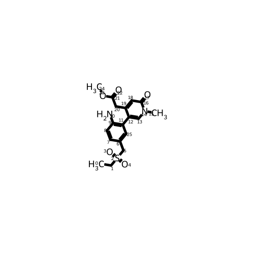 CCS(=O)(=O)Cc1ccc(N)c(-c2cn(C)c(=O)cc2CC(=O)OC)c1